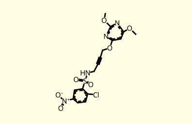 COc1cc(OCC#CCNS(=O)(=O)c2cc([N+](=O)[O-])ccc2Cl)nc(OC)n1